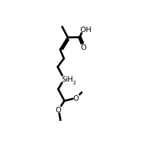 COC(C[SiH2]CCC=C(C)C(=O)O)OC